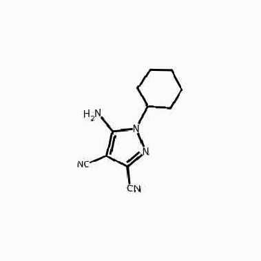 N#Cc1nn(C2CCCCC2)c(N)c1C#N